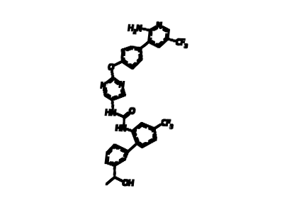 CC(O)c1cccc(-c2ccc(C(F)(F)F)cc2NC(=O)Nc2cnc(Oc3ccc(-c4cc(C(F)(F)F)cnc4N)cc3)nc2)c1